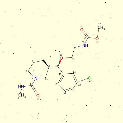 CNC(=O)N1CCC[C@@H]([C@@H](OCCNC(=O)OC)c2cccc(Cl)c2)C1